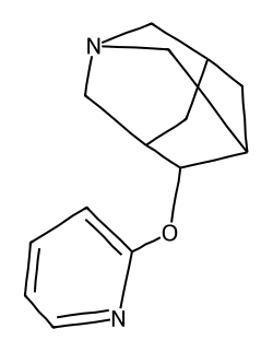 c1ccc(OC2C3CC4CC2CN(C4)C3)nc1